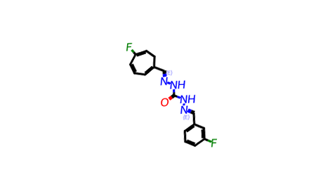 O=C(N/N=C/C1=CC=CC(F)=CC1)N/N=C/c1cccc(F)c1